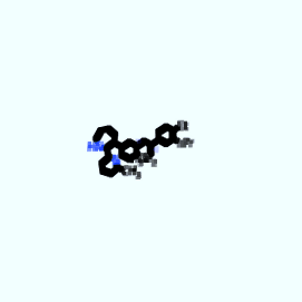 C=c1ccc(C2=C(c3cccc(C)n3)NC=CC=C2)c/c1=C/C(=C\C)c1ccc(CC)c(CCC)c1